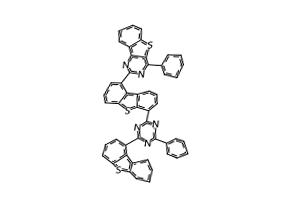 c1ccc(-c2nc(-c3cccc4c3sc3cccc(-c5nc(-c6ccccc6)c6sc7ccccc7c6n5)c34)nc(-c3cccc4sc5ccccc5c34)n2)cc1